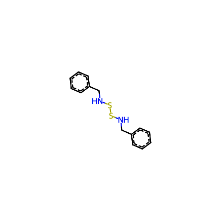 c1ccc(CNSSNCc2ccccc2)cc1